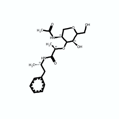 CC(=O)N[C@H]1COC(CO)[C@@H](O)C1O[C@H](C)C(=O)N[C@@H](C)Cc1ccccc1